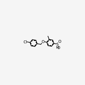 Cc1cc([SH](=O)=O)ccc1OCc1ccc(Cl)cc1